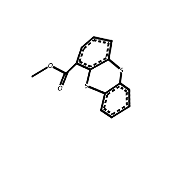 COC(=O)c1cccc2c1Sc1ccccc1S2